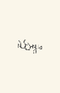 C=Cc1nc(NC(=O)C2CC2)ccc1/C=N\CC